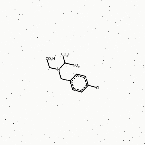 O=C(O)CN(Cc1ccc(Cl)cc1)C(C(=O)O)[N+](=O)[O-]